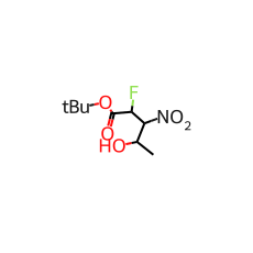 CC(O)C(C(F)C(=O)OC(C)(C)C)[N+](=O)[O-]